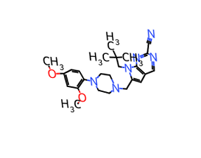 COc1ccc(N2CCN(Cc3cc4cnc(C#N)nc4n3CC(C)(C)C)CC2)c(OC)c1